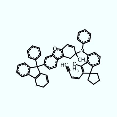 C#C/C=C\C1=C(C)c2c(N(c3ccccc3)C3(C)C=Cc4oc5cc(C6(c7ccccc7)C7=C(CCC=C7)c7ccccc76)ccc5c4C3)cccc2C12CCCC2